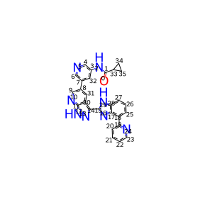 O=C(Nc1cncc(-c2cnc3[nH]nc(-c4nc5c(-c6ccccn6)cccc5[nH]4)c3c2)c1)C1CC1